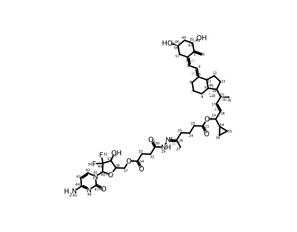 C=C1/C(=C\C=C2/CCC[C@@]3(C)C2CCC3[C@@H](C)/C=C/C(OC(=O)CCC/C(C)=N/NC(=O)CCC(=O)OCC2OC(n3ccc(N)nc3=O)C(F)(F)C2O)C2CC2)C[C@@H](O)C[C@@H]1O